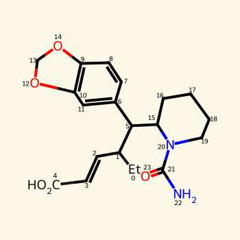 CCC(C=CC(=O)O)C(c1ccc2c(c1)OCO2)C1CCCCN1C(N)=O